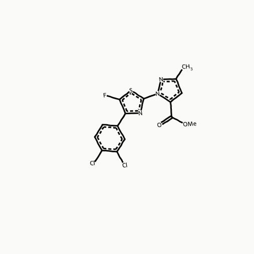 COC(=O)c1cc(C)nn1-c1nc(-c2ccc(Cl)c(Cl)c2)c(F)s1